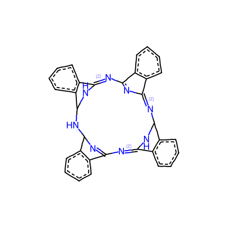 c1ccc2c(c1)C1=NC/2=N\C2N/C(=N\C3=NC(NC4N/C(=N\1)c1ccccc14)c1ccccc13)c1ccccc12